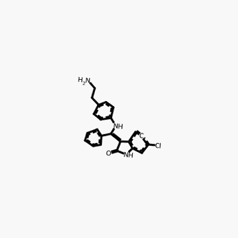 NCCc1ccc(NC(=C2C(=O)Nc3cc(Cl)ccc32)c2ccccc2)cc1